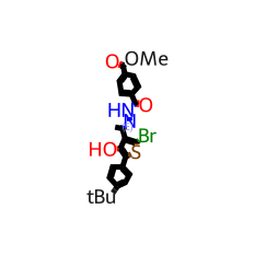 COC(=O)c1ccc(C(=O)N/N=C(\C)c2c(Br)sc(-c3ccc(C(C)(C)C)cc3)c2O)cc1